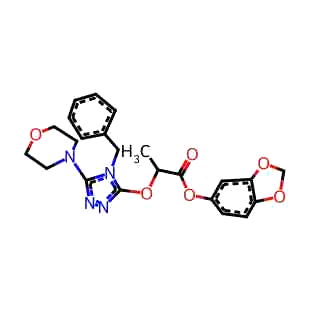 CC(Oc1nnc(N2CCOCC2)n1Cc1ccccc1)C(=O)Oc1ccc2c(c1)OCO2